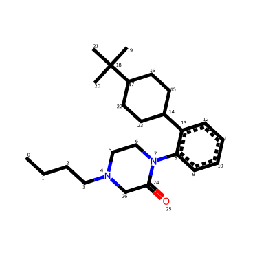 CCCCN1CCN(c2ccccc2C2CCC(C(C)(C)C)CC2)C(=O)C1